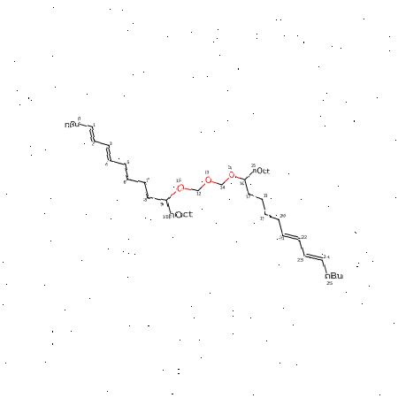 CCCCC=CC=CCCCCC(CCCCCCCC)OCOCOC(CCCCC=CC=CCCCC)CCCCCCCC